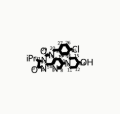 CC(C)C1C(=O)N=C2c3ncc(N4CCC(O)CC4)cc3N(Cc3ccc(Cl)cc3)C(=O)N21